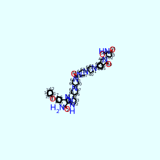 NC(=O)c1c(-c2ccc(Oc3ccccc3)cc2)nn2c1NCCC2C1CCN(C2CCN(C(=O)N3CCN(C4CCN(c5ccc6c(c5)CN(C5CCC(=O)NC5=O)C6=O)CC4)CC3)CC2)CC1